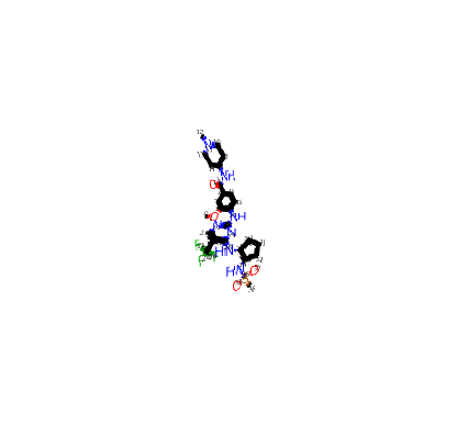 COc1cc(C(=O)NC2CCN(C)CC2)ccc1Nc1ncc(C(F)(F)F)c(N[C@@H]2CCC[C@H]2NS(C)(=O)=O)n1